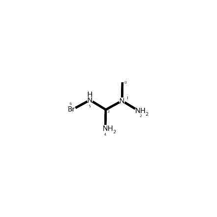 CN(N)C(N)NBr